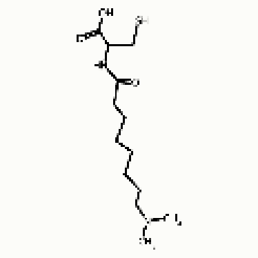 CN(C)CCCCCCCC(=O)NC(CS)C(=O)O